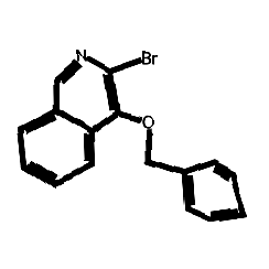 Brc1ncc2ccccc2c1OCc1ccccc1